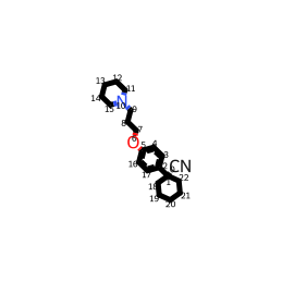 N#CC1(c2ccc(OCCCN3CCCCC3)cc2)CCCCC1